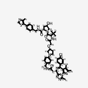 Cc1ncsc1-c1ccc(CNC(=O)[C@@H]2C[C@@H](O)CN2C(=O)[C@@H](NC(=O)CO[C@@H]2CCN(c3ccc([C@@H](C)NC(=O)C[C@@H]4N=C(c5ccc(Cl)cc5)c5c(sc(C)c5C)-n5c(C)nnc54)cc3)C2)C(C)(C)C)cc1